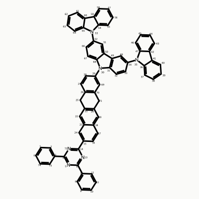 c1ccc(-c2nc(-c3ccccc3)nc(-c3ccc4cc5c(cc4c3)Cc3ccc(-n4c6ccc(-n7c8ccccc8c8ccccc87)cc6c6cc(-n7c8ccccc8c8ccccc87)ccc64)cc3C5)n2)cc1